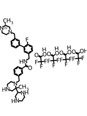 C[C@H]1CN(Cc2cccc(-c3cc(CNC(=O)c4cccc(CN5CCNCC5(C)C5CNCCN5)c4)ccc3F)c2)CCN1.O=C(O)C(F)(F)F.O=C(O)C(F)(F)F.O=C(O)C(F)(F)F.O=C(O)C(F)(F)F